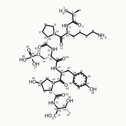 C[C@H](N)C(=O)N[C@@H](CCCCN)C(=O)N1CCC[C@H]1C(=O)N[C@@H](COP(=O)(O)O)C(=O)N[C@@H](Cc1ccc(O)cc1)C(=O)N1C[C@H](O)C[C@H]1C(=O)N[C@H](C(=O)O)[C@@H](C)O